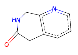 O=C1Cc2cccnc2CN1